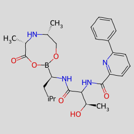 CC(C)C[C@H](NC(=O)C(NC(=O)c1cccc(-c2ccccc2)n1)[C@@H](C)O)B1OC[C@@H](C)N[C@@H](C)C(=O)O1